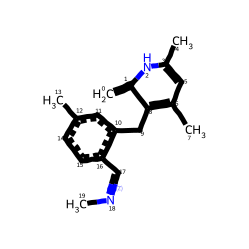 C=C1NC(C)=CC(C)=C1Cc1cc(C)ccc1/C=N\C